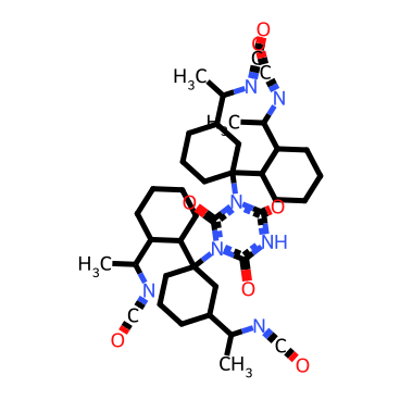 CC(N=C=O)C1CCCC(C2CCCCC2C(C)N=C=O)(n2c(=O)[nH]c(=O)n(C3(C4CCCCC4C(C)N=C=O)CCCC(C(C)N=C=O)C3)c2=O)C1